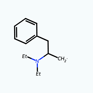 [CH2]C(Cc1ccccc1)N(CC)CC